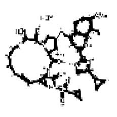 COc1ccc2c(O[C@@H]3C[C@H]4C(=O)N[C@]5(C(=O)NS(=O)(=O)C6CC6)CC5/C=C/CCCCCC(N)C(=O)N4C3)cc(-c3nc(C4CC4)cs3)nc2c1C.Cl